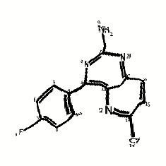 Nc1nc(-c2ccc(F)cc2)c2nc(Cl)ccc2n1